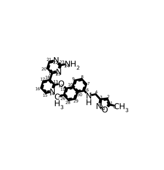 Cc1cc(CNc2cccc3c(Oc4ncccc4-c4ccnc(N)n4)c(C)ccc23)no1